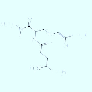 CN(C(=O)O)C(=O)C(CSC=C(O)C(=O)O)NC(=O)CCC(N)C(=O)O